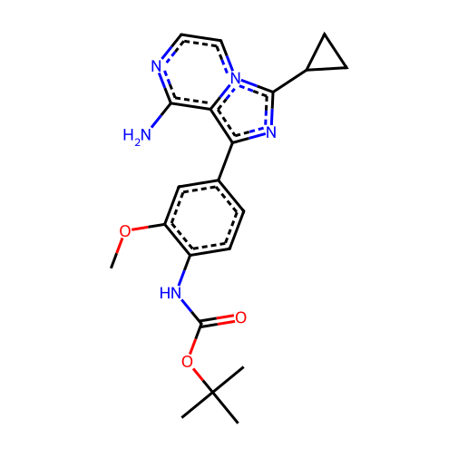 COc1cc(-c2nc(C3CC3)n3ccnc(N)c23)ccc1NC(=O)OC(C)(C)C